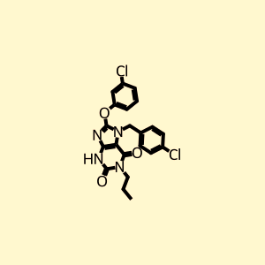 CCCn1c(=O)[nH]c2nc(Oc3cccc(Cl)c3)n(Cc3ccc(Cl)cc3)c2c1=O